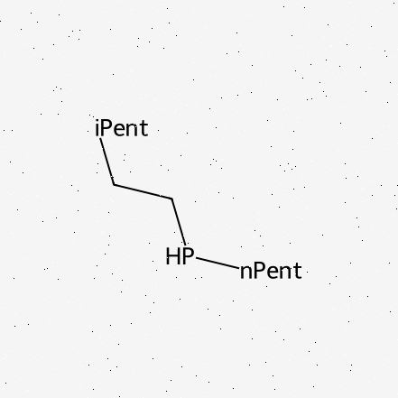 CCCCCPCCC(C)CCC